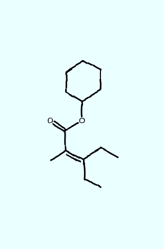 CCC(CC)=C(C)C(=O)OC1CCCCC1